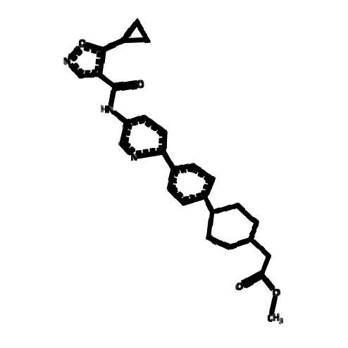 COC(=O)CC1CCC(c2ccc(-c3ccc(NC(=O)c4cnoc4C4CC4)cn3)cc2)CC1